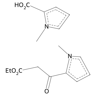 CCOC(=O)CC(=O)c1cccn1C.Cn1cccc1C(=O)O